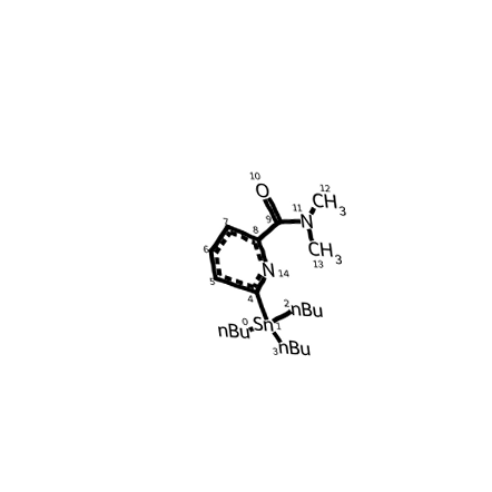 CCC[CH2][Sn]([CH2]CCC)([CH2]CCC)[c]1cccc(C(=O)N(C)C)n1